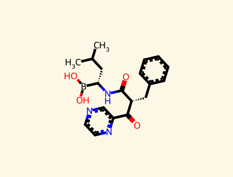 CC(C)C[C@H](NC(=O)[C@H](Cc1ccccc1)C(=O)c1cnccn1)B(O)O